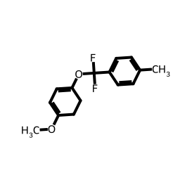 COC1=CC=C(OC(F)(F)c2ccc(C)cc2)CC1